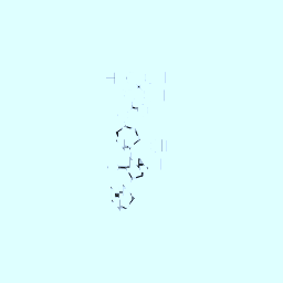 CC(C)(C)OC(=O)Oc1ccc(-n2[nH]cc(-n3ccnn3)c2=O)nc1.Cl